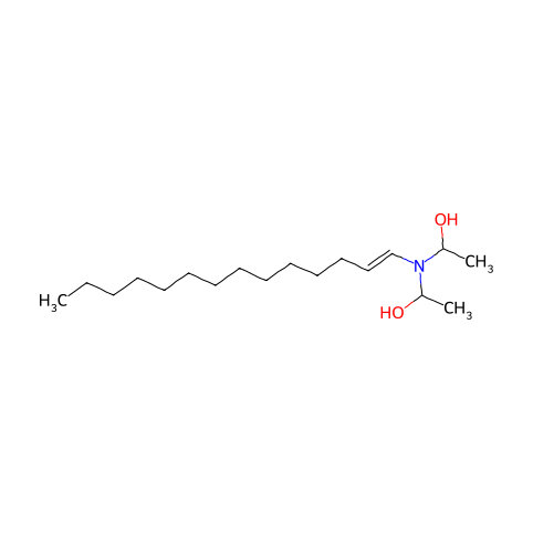 CCCCCCCCCCCCC=CN(C(C)O)C(C)O